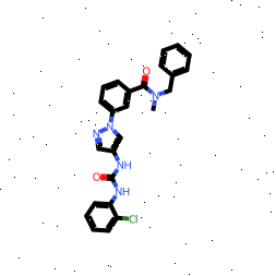 CN(Cc1ccccc1)C(=O)c1cccc(-n2cc(NC(=O)Nc3ccccc3Cl)cn2)c1